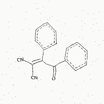 [C-]#[N+]/C(C#N)=C(/C(=O)c1ccccc1)c1ccccc1